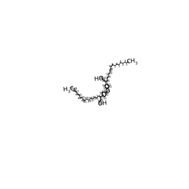 CCCCCCCC/C=C\CCCCCCCC(=CCO)c1ccc(Oc2ccc(C(=CCO)CCCCCCC/C=C\CCCCCCCC)cc2)cc1